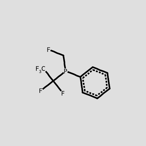 FCP(c1ccccc1)C(F)(F)C(F)(F)F